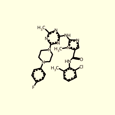 Cc1nc(Nc2ncc(C(=O)Nc3c(C)cccc3Cl)n2C)nc(N2CCN(c3ccc(F)cc3)CC2)n1